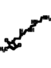 CC1=CC(=O)N(CCNCCNCCNCCN)C1=O